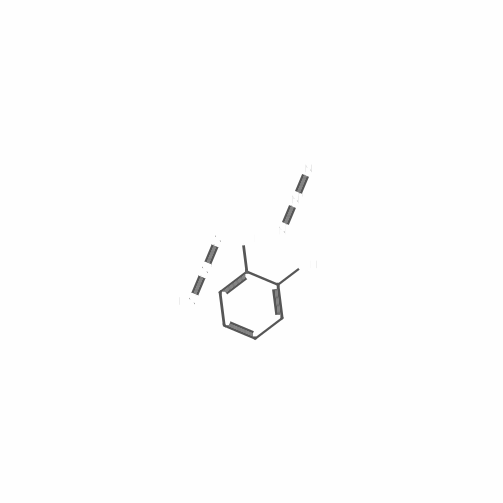 Cc1ccccc1C.N=[N+]=N.N=[N+]=N